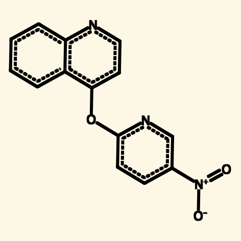 O=[N+]([O-])c1ccc(Oc2ccnc3ccccc23)nc1